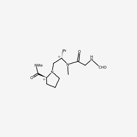 CNC(=O)[C@@H]1CCCN1C[C@H](C(C)C)N(C)C(=O)CNC=O